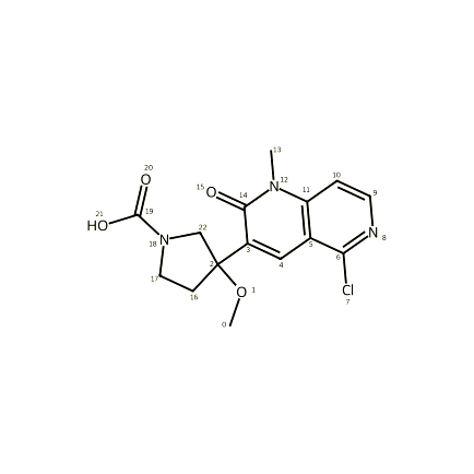 COC1(c2cc3c(Cl)nccc3n(C)c2=O)CCN(C(=O)O)C1